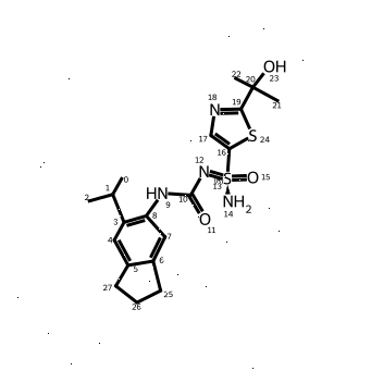 CC(C)c1cc2c(cc1NC(=O)N=[S@@](N)(=O)c1cnc(C(C)(C)O)s1)CCC2